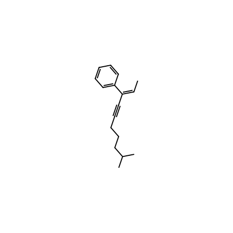 C/C=C(/C#CCCCC(C)C)c1ccccc1